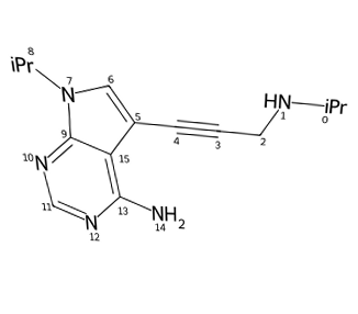 CC(C)NCC#Cc1cn(C(C)C)c2ncnc(N)c12